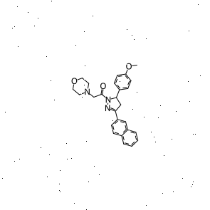 COc1ccc(C2CC(c3ccc4ccccc4c3)=NN2C(=O)CN2CCOCC2)cc1